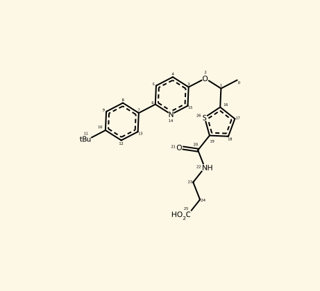 CC(Oc1ccc(-c2ccc(C(C)(C)C)cc2)nc1)c1ccc(C(=O)NCCC(=O)O)s1